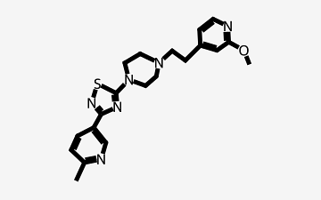 COc1cc(CCN2CCN(c3nc(-c4ccc(C)nc4)ns3)CC2)ccn1